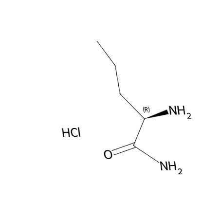 CCC[C@@H](N)C(N)=O.Cl